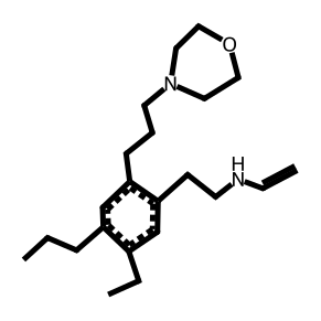 C=CNCCc1cc(CC)c(CCC)cc1CCCN1CCOCC1